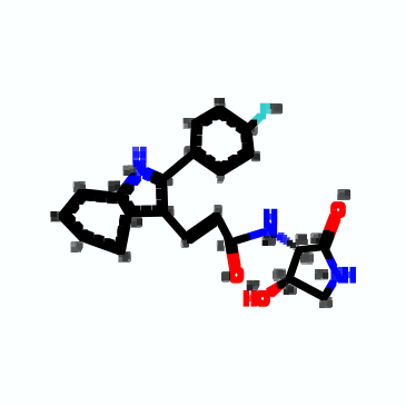 O=C(C=Cc1c(-c2ccc(F)cc2)[nH]c2ccccc12)N[C@@H]1C(=O)NC[C@H]1O